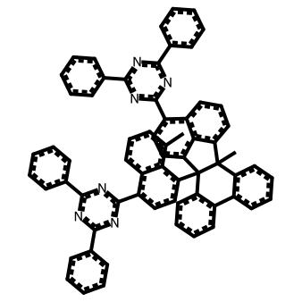 Cc1cccc2c(-c3nc(-c4ccccc4)nc(-c4ccccc4)n3)ccc(C34c5ccccc5-c5ccccc5C3(C)c3cccc5c(-c6nc(-c7ccccc7)nc(-c7ccccc7)n6)ccc4c35)c12